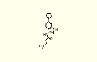 CCCC(=O)Nc1n[nH]c2cc(-c3cccs3)ccc12